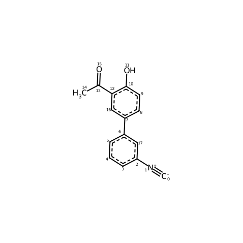 [C-]#[N+]c1cccc(-c2ccc(O)c(C(C)=O)c2)c1